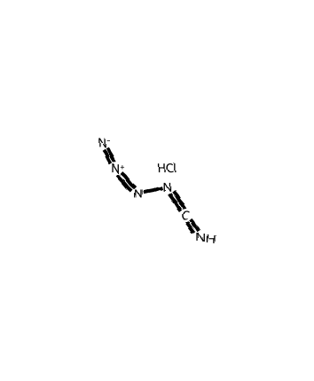 Cl.[N-]=[N+]=NN=C=N